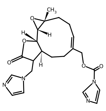 C[C@@]12CC/C=C(/COC(=O)n3ccnc3)CC[C@H]3C(Cn4ccnc4)C(=O)O[C@@H]3[C@@H]1O2